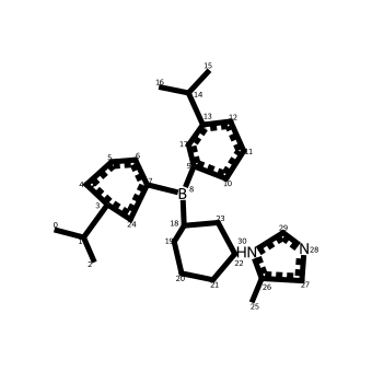 CC(C)c1cccc(B(c2cccc(C(C)C)c2)C2CCCCC2)c1.Cc1cnc[nH]1